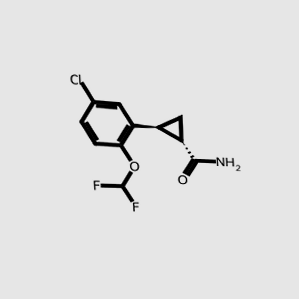 NC(=O)[C@H]1C[C@@H]1c1cc(Cl)ccc1OC(F)F